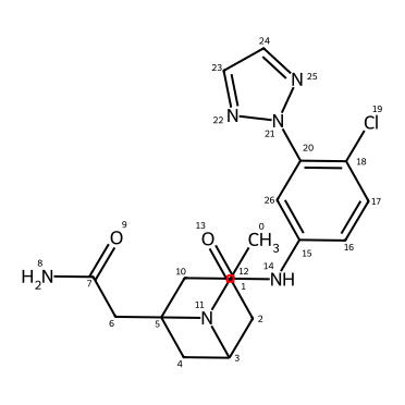 CC1CC2CC(CC(N)=O)(C1)N2C(=O)Nc1ccc(Cl)c(-n2nccn2)c1